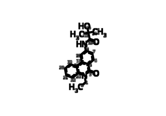 CCn1c(=O)c2ccc(NC(=O)C(C)(C)O)cc2c2ccccc21